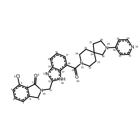 O=C1c2c(Cl)cccc2CN1Cc1nc2cccc(C(=O)N3CCC4(CC3)CCN(c3ccncc3)C4)c2[nH]1